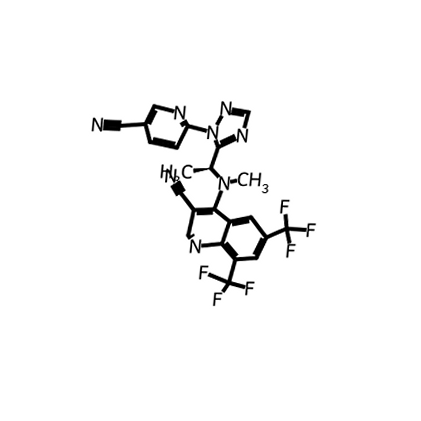 C[C@@H](c1ncnn1-c1ccc(C#N)cn1)N(C)c1c(C#N)cnc2c(C(F)(F)F)cc(C(F)(F)F)cc12